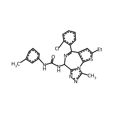 CCc1cc2c(s1)-n1c(C)nnc1C(NC(=O)Nc1cccc(C)c1)N=C2c1ccccc1Cl